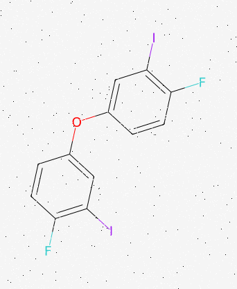 Fc1ccc(Oc2ccc(F)c(I)c2)cc1I